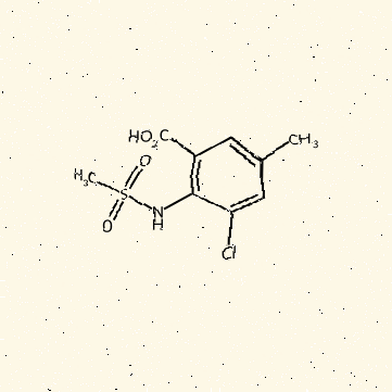 Cc1cc(Cl)c(NS(C)(=O)=O)c(C(=O)O)c1